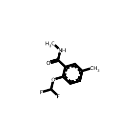 CNC(=O)c1cc(C)ccc1OC(F)F